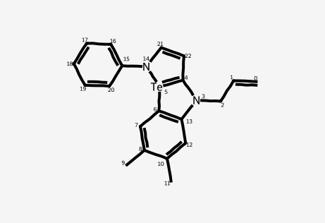 C=CCN1C2=[Te](c3cc(C)c(C)cc31)N(c1ccccc1)C=C2